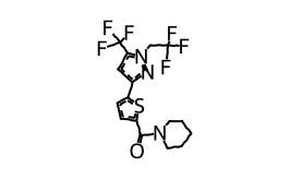 O=C(c1ccc(-c2cc(C(F)(F)F)n(CC(F)(F)F)n2)s1)N1CCCCC1